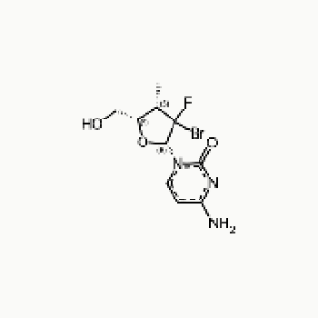 C[C@H]1[C@@H](CO)O[C@@H](n2ccc(N)nc2=O)C1(F)Br